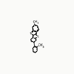 Cc1ccc2c(c1)sc1c3ccc(-c4ccccc4C)cc3sc21